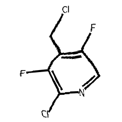 Fc1cnc(Cl)c(F)c1CCl